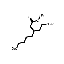 CCCCCCCCCCCCCCC(CCCCCCCCCCCC)CC(=O)OCCC